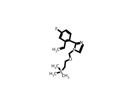 C=Cc1cc(F)ccc1-c1nccn1COCCS(C)(C)C